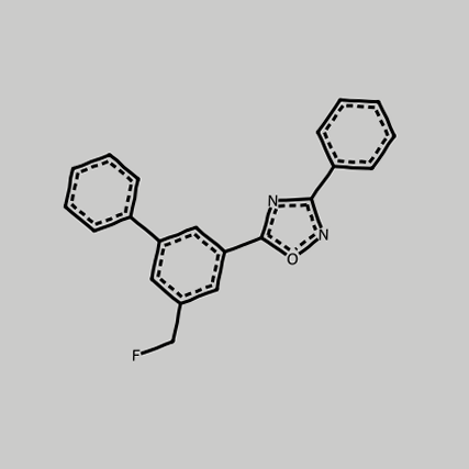 FCc1cc(-c2ccccc2)cc(-c2nc(-c3ccccc3)no2)c1